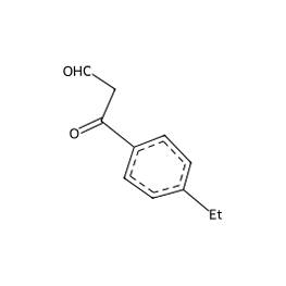 CCc1ccc(C(=O)CC=O)cc1